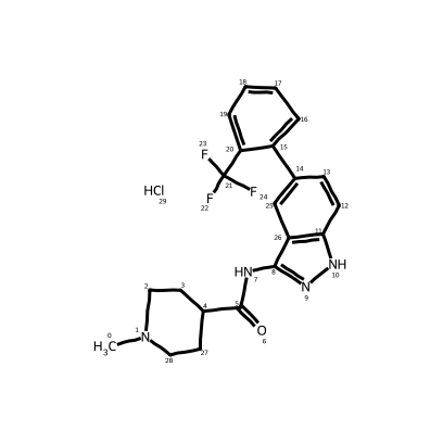 CN1CCC(C(=O)Nc2n[nH]c3ccc(-c4ccccc4C(F)(F)F)cc23)CC1.Cl